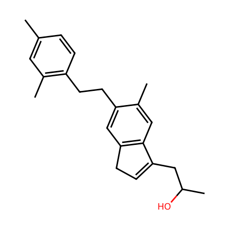 Cc1ccc(CCc2cc3c(cc2C)C(CC(C)O)=CC3)c(C)c1